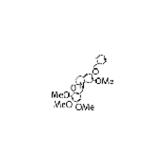 COc1cc2c(cc1OCc1ccccc1)CCC(=O)N2Cc1cc(OC)c(OC)c(OC)c1